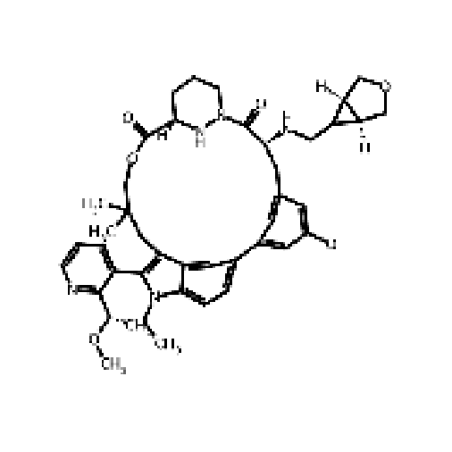 CCn1c(-c2cccnc2[C@H](C)OC)c2c3cc(ccc31)-c1cc(O)cc(c1)C[C@H](NCC1[C@H]3COC[C@@H]13)C(=O)N1CCC[C@H](N1)C(=O)OCC(C)(C)C2